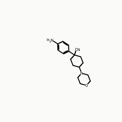 N#CC1(c2ccc(N)cc2)CCC(N2CCOCC2)CC1